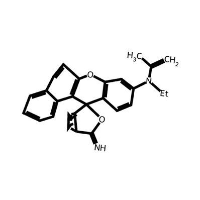 C=C(C)N(CC)c1ccc2c(c1)Oc1ccc3ccccc3c1C21OC(=N)c2ccccc21